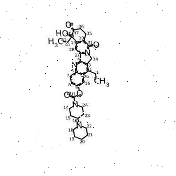 CCc1c2c(nc3ccc(OC(=O)N4CCC(N5CCCCC5)CC4)cc13)-c1cc3c(c(=O)n1C2)CCC(=O)[C@@]3(O)CC